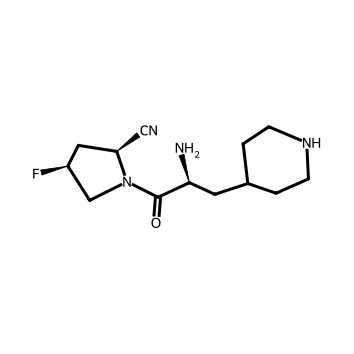 N#C[C@@H]1C[C@H](F)CN1C(=O)[C@@H](N)CC1CCNCC1